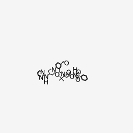 CC(C)(C)[C@H](CC(=O)ONS(=O)(=O)c1ccccc1)NC(=O)c1cc(C=O)ccc1N1CCC(Nc2ncccn2)CC1